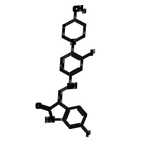 CC1CCN(c2ccc(N/C=C3/C(=O)Nc4cc(F)ccc43)cc2F)CC1